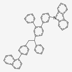 c1ccc(-c2cc(C(Cc3ccc(-c4cccc5ccccc45)cc3)c3ccccc3)ccc2-c2cccc(-n3c4ccccc4c4ccccc43)c2)cc1